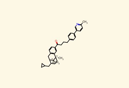 Cc1ccc(-c2ccc(CCCC(=O)c3ccc4c(c3)[C@@]3(C)CCC(CC5CC5)C(C4)[C@@H]3C)cc2)cn1